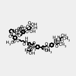 COc1cc2c(cc1OCCCC(=O)Nc1cc(C(=O)Nc3ccc(-c4cc(C(=O)Nc5ccc(NC(=O)[C@H](C)NC(=O)[C@@H](N)C(C)C)cc5)n(C)c4)cc3)n(C)c1)N(C(=O)OCc1ccc(O[C@@H]3O[C@H](C(=O)O)[C@@H](O)[C@H](O)[C@H]3O)c([N+](=O)[O-])c1)C(O)[C@@H]1CCCCN1C2=O.O=C(O)C(F)(F)F